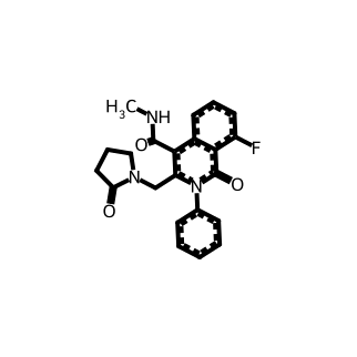 CNC(=O)c1c(CN2CCCC2=O)n(-c2ccccc2)c(=O)c2c(F)cccc12